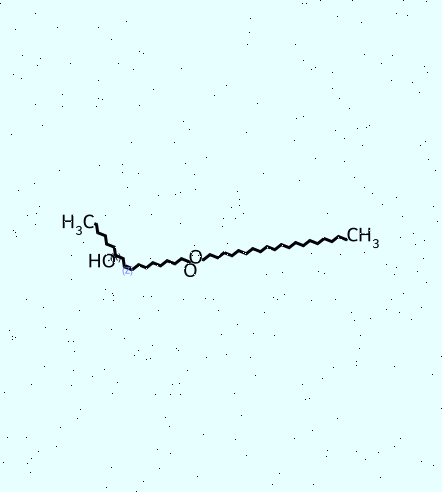 CCCCCCCCCCCCCCCCCCCCCCOC(=O)CCCCCCC/C=C\C[C@H](O)CCCCCC